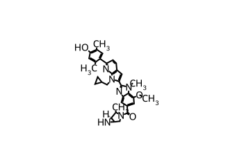 COc1cc(C(=O)N2CC3N[C@H]3C2C)cc2nc(-c3cc4ccc(-c5cc(C)c(O)cc5C)nc4n3CC3CC3)n(C)c12